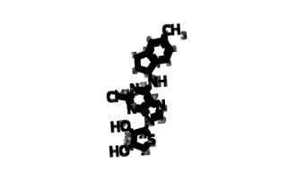 Cc1ccc2c(c1)CC[C@H]2Nc1nc(Cl)nc2c1ncn2[C@@H]1SC[C@@H](O)[C@H]1O